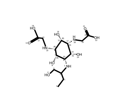 CCC(CO)N[C@@H]1[C@H](O)[C@H](NCC(=O)O)[C@H](O)[C@H](NCC(=O)O)[C@@H]1O